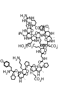 CC(C)C[C@H](NC(=O)[C@H](CCC(=O)O)NC(=O)[C@H](CCC(=O)O)NC(=O)[C@@H]1CCCN1C(=O)[C@H](CO)NC(=O)[C@H](C)NC(=O)[C@H](CC(=O)O)NC(=O)[C@H](CCC(=O)O)NC(=O)CNC(=O)[C@@H]1CCCN1C(=O)[C@H](C)NC(=O)[C@H](CCC(=O)O)NC(=O)[C@@H]1CCCN1C(=O)[C@H](CCCCN)NC(=O)[C@H](C)NC(=O)[C@@H]1CCCN1C(=O)[C@@H](N)Cc1ccc(O)cc1)C(=O)N[C@@H](CO)C(=O)N[C@@H](CCCNC(=N)N)C(=O)O